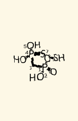 O=P(O)(CP(O)(O)=S)OS